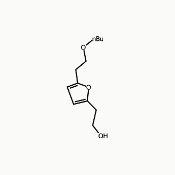 CCCCOCCc1ccc(CCO)o1